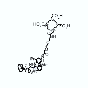 COc1cccc(OC)c1/C(=C/C(=N)C(=O)NC1(C(=O)O)C2CC3CC(C2)CC1C3)Nc1ccc(NCC(=O)COCCOCCNC(=O)CN2CCN(CC(=O)O)CCN(CC(=O)O)CCN(CC(=O)O)CC2)cc1C(C)C